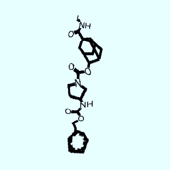 O=C(NC1CCN(C(=O)OC2C3CC4CC2CC(C(=O)NI)(C4)C3)C1)OCc1ccccc1